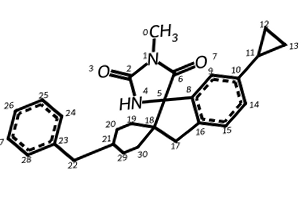 CN1C(=O)NC2(C1=O)c1cc(C3CC3)ccc1CC21CCC(Cc2ccccc2)CC1